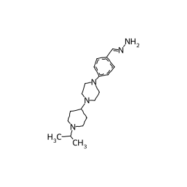 CC(C)N1CCC(N2CCN(c3ccc(C=NN)cc3)CC2)CC1